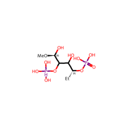 CC[C@@H](OP(=O)(O)O)C(O)C(O[PH](O)(O)O)[C@H](O)OC